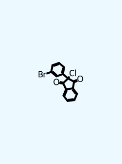 O=C1c2ccccc2C(=O)C1(Cl)c1cccc(Br)c1